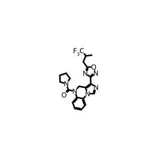 CC(Cc1nc(-c2ncn3c2CN(C(=O)N2CCCC2)c2ccccc2-3)no1)C(F)(F)F